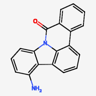 Nc1cccc2c1c1cccc3c4ccccc4c(=O)n2c31